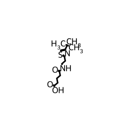 CC(C)(C)c1csc(CCNC(=O)CCCC(=O)O)n1